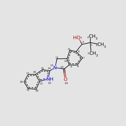 CC(C)(C)C(O)c1ccc2c(c1)CN(c1cc3ccccc3[nH]1)C2=O